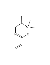 C=CC1=NCC(C)[Si](C)(C)O1